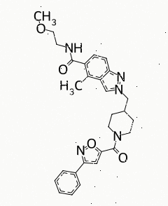 COCCNC(=O)c1ccc2nn(CC3CCN(C(=O)c4cc(-c5ccccc5)no4)CC3)cc2c1C